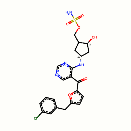 NS(=O)(=O)OCC1C[C@@H](Nc2ncncc2C(=O)c2ccc(Cc3cccc(Cl)c3)o2)C[C@@H]1O